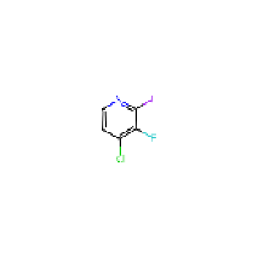 Fc1c(Cl)ccnc1I